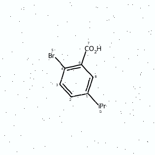 CC(C)c1ccc(Br)c(C(=O)O)c1